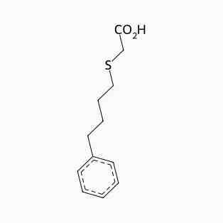 O=C(O)CSCCCCc1ccccc1